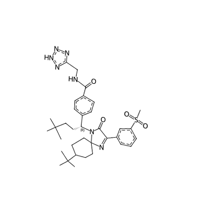 CC(C)(C)CC[C@H](c1ccc(C(=O)NCc2nn[nH]n2)cc1)N1C(=O)C(c2cccc(S(C)(=O)=O)c2)=NC12CCC(C(C)(C)C)CC2